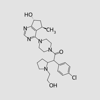 C[C@@H]1C[C@@H](O)c2ncnc(N3CCN(C(=O)C(c4ccc(Cl)cc4)C4CCCN4CCO)CC3)c21